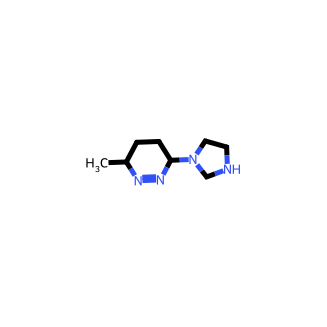 CC1CCC(N2CCNC2)N=N1